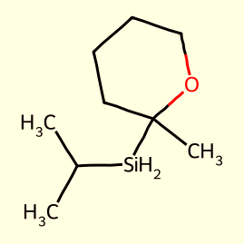 CC(C)[SiH2]C1(C)CCCCO1